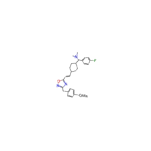 COc1ccc(Cc2noc(C=CC3CCC(C(c4ccc(F)cc4)N(C)C)CC3)n2)cc1